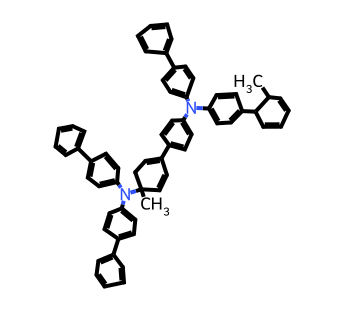 CC1C=CC=CC1c1ccc(N(c2ccc(C3=CCC(C)(N(c4ccc(-c5ccccc5)cc4)c4ccc(-c5ccccc5)cc4)C=C3)cc2)c2ccc(-c3ccccc3)cc2)cc1